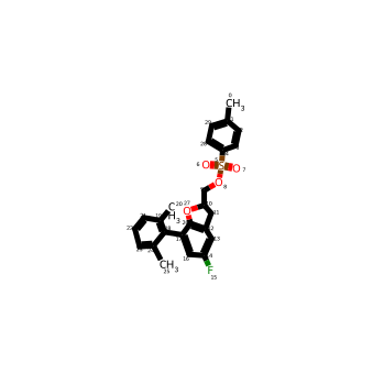 Cc1ccc(S(=O)(=O)OCC2Cc3cc(F)cc(-c4c(C)cccc4C)c3O2)cc1